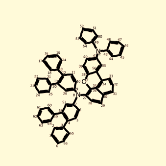 c1ccc(-c2ccc(N(c3ccc(-c4ccccc4)c(-c4ccccc4)c3)c3ccc4cccc5c4c3Oc3ccc(N(c4ccccc4)c4ccccc4)cc3-5)cc2-c2ccccc2)cc1